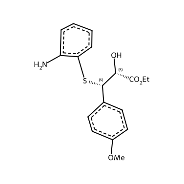 CCOC(=O)[C@@H](O)[C@@H](Sc1ccccc1N)c1ccc(OC)cc1